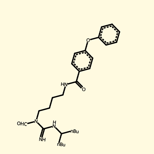 CCCCC(CCCC)NC(=N)N(C=O)CCCCNC(=O)c1ccc(Oc2ccccc2)cc1